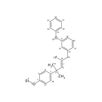 CCOc1ccc(C(C)(C)/C=C(\F)Cc2cccc(Oc3ccccc3)c2)cc1